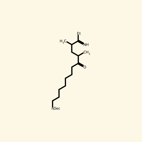 CCCCCCCCCCCCCCCCCC(=O)C(C)CC(C)C(=N)CC